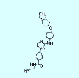 CCN1CCC(Oc2ccc(Nc3nccc(-c4ccc(C(=O)NCC#N)cc4)n3)cc2)CC1